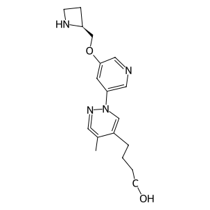 CC1=C=NN(c2cncc(OC[C@@H]3CCN3)c2)C=C1CCCCO